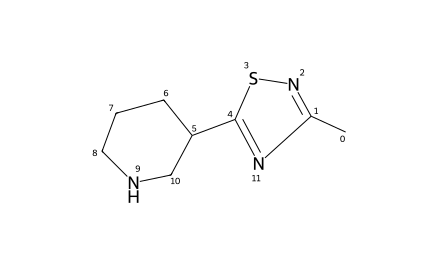 Cc1nsc(C2CCCNC2)n1